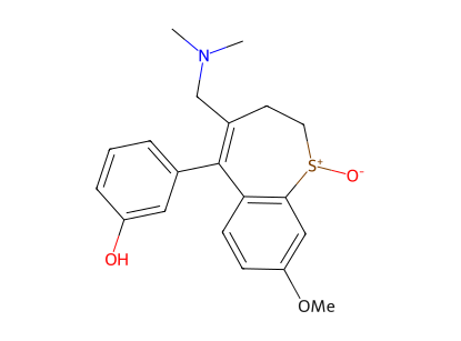 COc1ccc2c(c1)[S+]([O-])CCC(CN(C)C)=C2c1cccc(O)c1